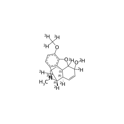 [2H]OC1([2H])C=C[C@]2([2H])[C@@]34CCN(C)[C@]2([2H])C([2H])([2H])c2ccc(OC([2H])([2H])[2H])c(c23)OC14[2H]